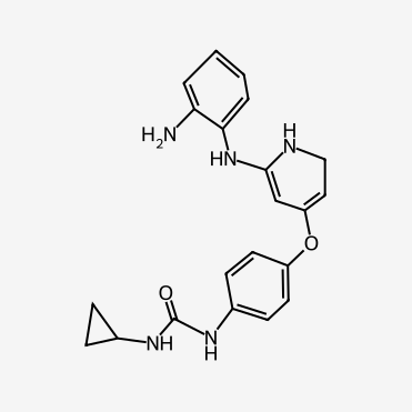 Nc1ccccc1NC1=CC(Oc2ccc(NC(=O)NC3CC3)cc2)=CCN1